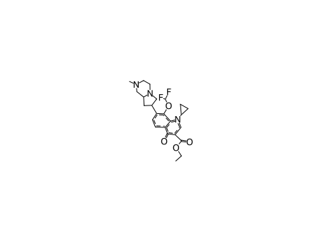 CCOC(=O)c1cn(C2CC2)c2c(OC(F)F)c(C3CC4CN(C)CCN4C3)ccc2c1=O